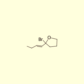 CCC=CC1(Br)CCCO1